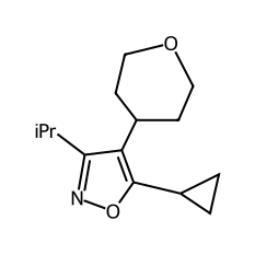 CC(C)c1noc(C2CC2)c1C1CCOCC1